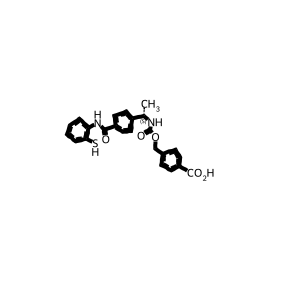 C[C@H](NC(=O)OCc1ccc(C(=O)O)cc1)c1ccc(C(=O)Nc2ccccc2S)cc1